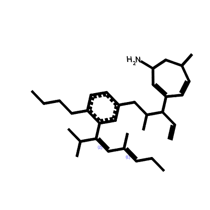 C=CC(C1=CC(N)CC(C)C=C1)C(C)Cc1ccc(CCCC)c(/C(=C\C(C)=C\CC)C(C)C)c1